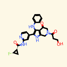 O=C1CN(C(=O)CCO)Cc2[nH]c(-c3ccnc(NC(=O)[C@@H]4C[C@@H]4F)c3)c(Nc3ccccc3)c21